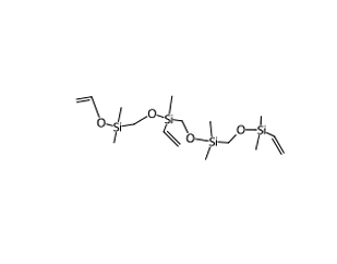 C=CO[Si](C)(C)CO[Si](C)(C=C)CO[Si](C)(C)CO[Si](C)(C)C=C